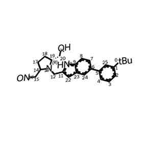 CC(C)(C)c1cccc(-c2ccc3[nH]c(CN4C(CN=O)CC[C@@H]4CO)cc3c2)c1